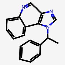 CC(c1ccccc1)n1cnc2cnc3ccccc3c21